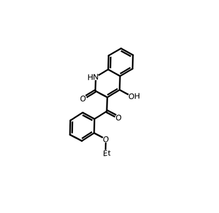 CCOc1ccccc1C(=O)c1c(O)c2ccccc2[nH]c1=O